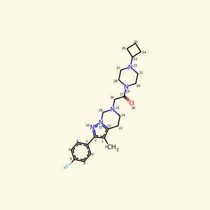 Cc1c(-c2ccc(F)cc2)nn2c1CCN(CC(=O)N1CCN(C3CCC3)CC1)C2